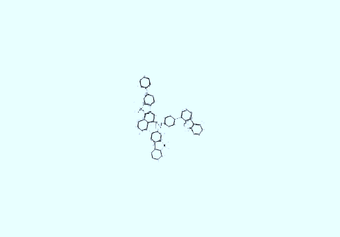 CC1(C)c2ccccc2-c2ccc(N(c3ccc(-c4cccc5c4sc4ccccc45)cc3)c3cc4c(c5ccccc35)C(C)(C)c3cc(-c5ccccc5)ccc3-4)cc21